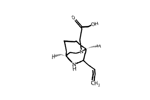 C=CC1N[C@H]2CC[C@@H]1N(C(=O)O)C2